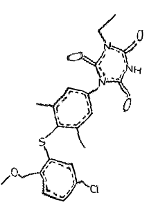 CCn1c(=O)[nH]c(=O)n(-c2cc(C)c(Sc3cc(Cl)ccc3OC)c(C)c2)c1=O